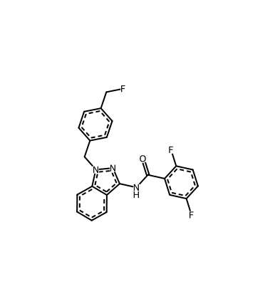 O=C(Nc1nn(Cc2ccc(CF)cc2)c2ccccc12)c1cc(F)ccc1F